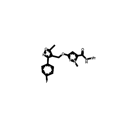 CCCNC(=O)c1cc(OCc2c(-c3ccc(F)cc3)noc2C)nn1C